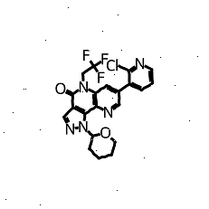 O=c1c2cnn(C3CCCCO3)c2c2ncc(-c3cccnc3Cl)cc2n1CC(F)(F)F